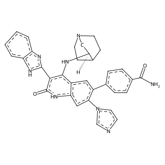 NC(=O)c1ccc(-c2cc3c(N[C@H]4CN5CCC4CC5)c(-c4nc5ccccc5[nH]4)c(=O)[nH]c3cc2-n2ccnc2)cc1